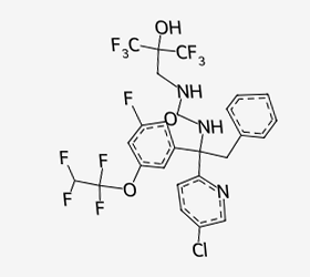 O=C(NCC(O)(C(F)(F)F)C(F)(F)F)NC(Cc1ccccc1)(c1cc(F)cc(OC(F)(F)C(F)F)c1)c1ccc(Cl)cn1